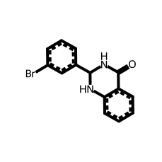 O=C1NC(c2cccc(Br)c2)Nc2ccccc21